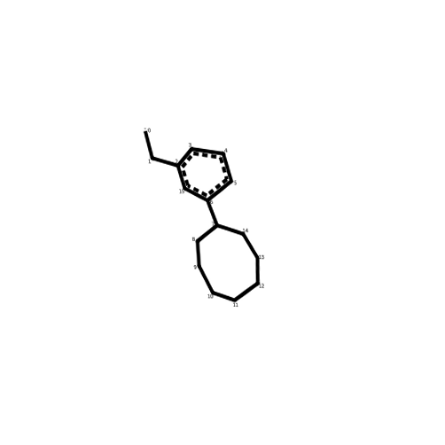 [CH2]Cc1cccc(C2CCCCCCC2)c1